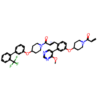 C=CC(=O)N1CCC(Oc2ccc(/C=C/C(=O)N3CCC(Oc4cccc(-c5ccccc5C(F)(F)F)c4)CC3)c(-c3cncnc3OC)c2)CC1